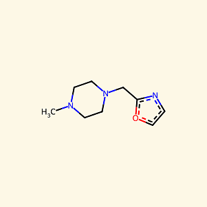 CN1CCN(Cc2ncco2)CC1